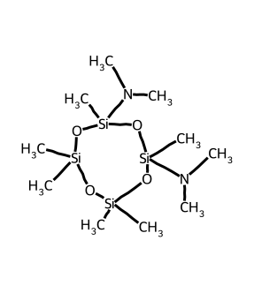 CN(C)[Si]1(C)O[Si](C)(C)O[Si](C)(C)O[Si](C)(N(C)C)O1